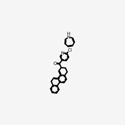 C1=CC=CNC=C1.O=C(c1ccc(Cl)nc1)C1C=c2c(ccc3c2=CCc2ccccc2-3)CC1